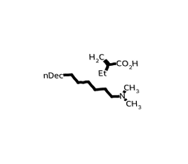 C=C(CC)C(=O)O.CCCCCCCCCCCCCCCCN(C)C